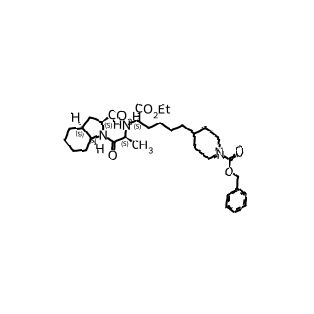 CCOC(=O)[C@H](CCCCC1CCN(C(=O)OCc2ccccc2)CC1)N[C@@H](C)C(=O)N1[C@H](C(=O)O)C[C@@H]2CCCC[C@@H]21